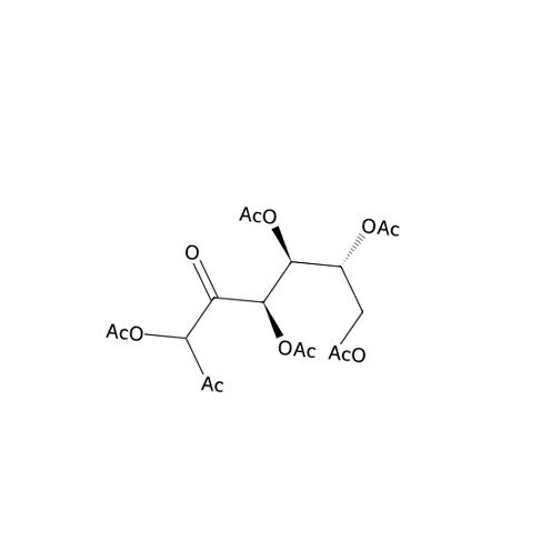 CC(=O)OC[C@@H](OC(C)=O)[C@H](OC(C)=O)[C@@H](OC(C)=O)C(=O)C(OC(C)=O)C(C)=O